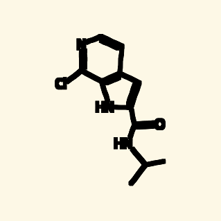 CC(C)NC(=O)c1cc2ccnc(Cl)c2[nH]1